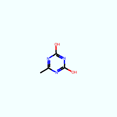 Cc1nc(O)nc(O)n1